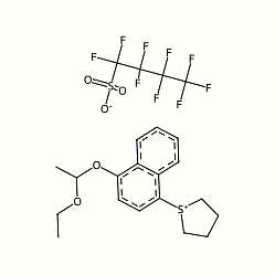 CCOC(C)Oc1ccc([S+]2CCCC2)c2ccccc12.O=S(=O)([O-])C(F)(F)C(F)(F)C(F)(F)C(F)(F)F